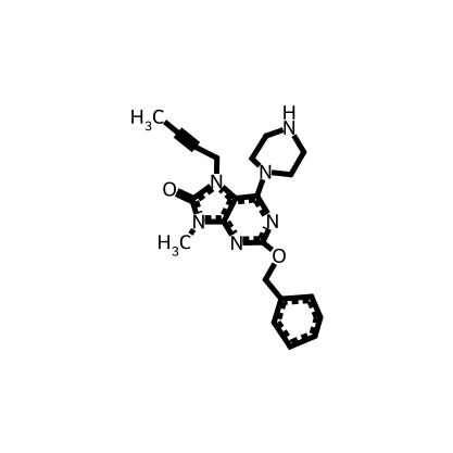 CC#CCn1c(=O)n(C)c2nc(OCc3ccccc3)nc(N3CCNCC3)c21